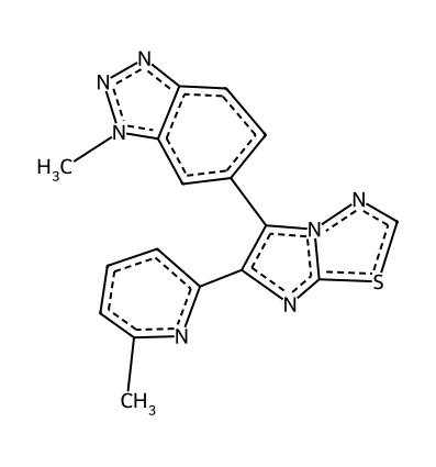 Cc1cccc(-c2nc3scnn3c2-c2ccc3nnn(C)c3c2)n1